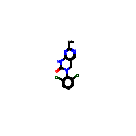 CSc1ncc2c(n1)NC(=O)N(c1c(Cl)cccc1Cl)C2